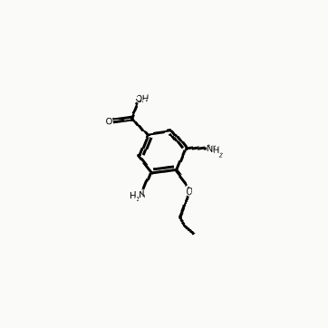 CCOc1c(N)cc(C(=O)O)cc1N